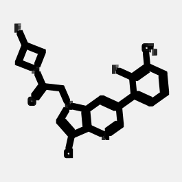 O=C(Cn1cc(Cl)c2ncc(-c3cccc(C(F)(F)F)c3F)cc21)N1CC(F)C1